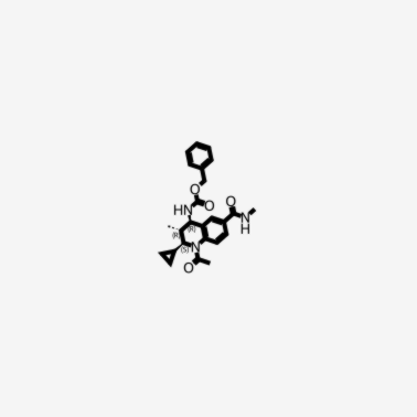 CNC(=O)c1ccc2c(c1)[C@H](NC(=O)OCc1ccccc1)[C@@H](C)[C@H](C1CC1)N2C(C)=O